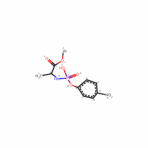 CC(C)OC(=O)C(C)NP(=O)(O)Oc1ccc([N+](=O)[O-])cc1